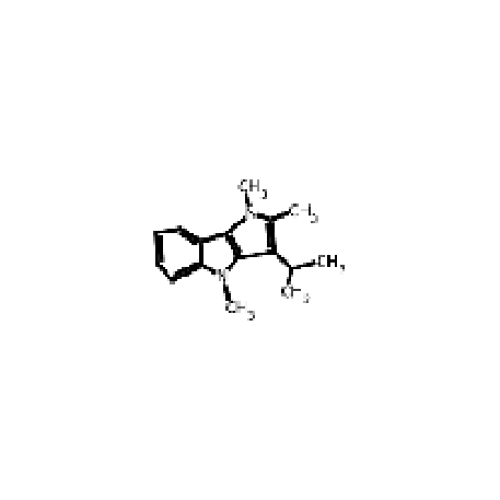 Cc1c(C(C)C)c2c(c3ccccc3n2C)n1C